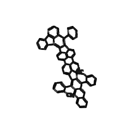 N#Cc1ccccc1-c1c2c(c(-c3ccccc3C#N)c3cc4ccccc4cc13)-c1ccc3c4ccc5c6c(ccc(c7ccc-2c1c73)c46)c1c(-c2ccccc2)c2cccc3c4ccccc4c(c23)c51